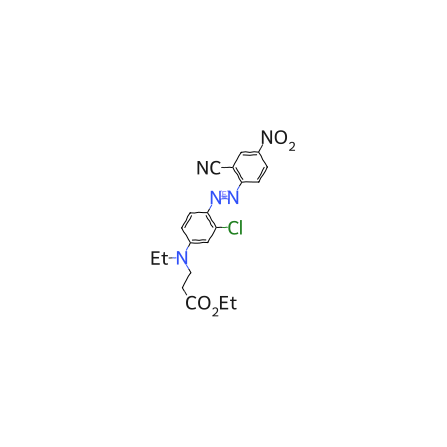 CCOC(=O)CCN(CC)c1ccc(/N=N/c2ccc([N+](=O)[O-])cc2C#N)c(Cl)c1